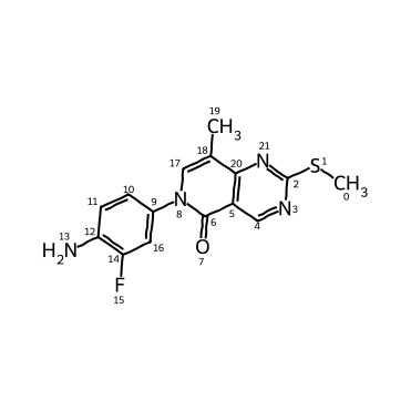 CSc1ncc2c(=O)n(-c3ccc(N)c(F)c3)cc(C)c2n1